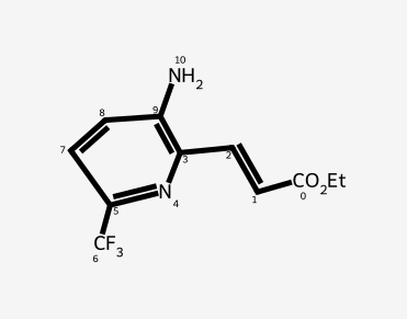 CCOC(=O)C=Cc1nc(C(F)(F)F)ccc1N